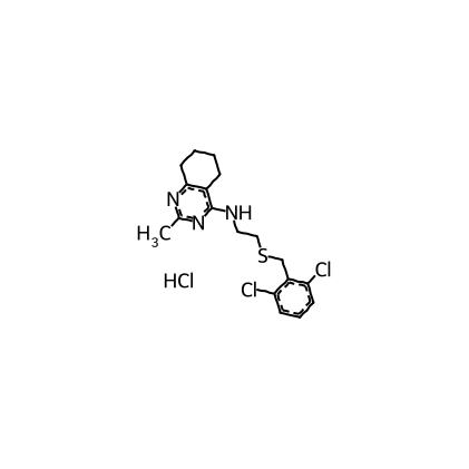 Cc1nc2c(c(NCCSCc3c(Cl)cccc3Cl)n1)CCCC2.Cl